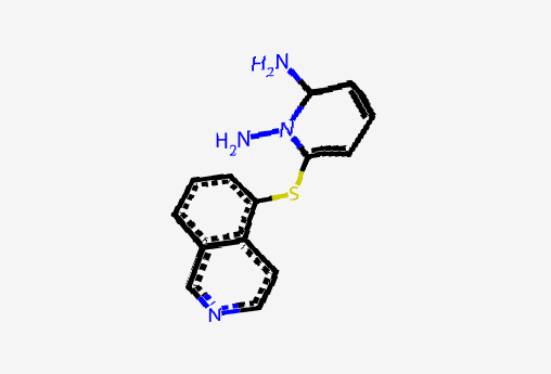 NC1C=CC=C(Sc2cccc3cnccc23)N1N